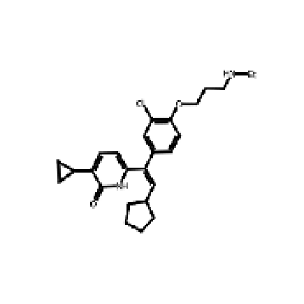 CCNCCCOc1ccc(/C(=C/C2CCCC2)c2ccc(C3CC3)c(=O)[nH]2)cc1Cl